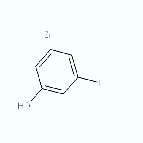 Oc1cccc(I)c1.[Zr]